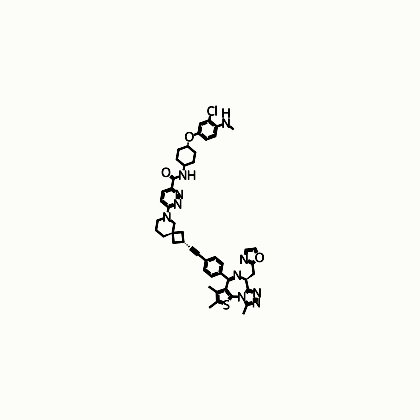 CNc1ccc(O[C@H]2CC[C@H](NC(=O)c3ccc(N4CCC[C@]5(C4)C[C@@H](C#Cc4ccc(C6=N[C@@H](Cc7ncco7)c7nnc(C)n7-c7sc(C)c(C)c76)cc4)C5)nn3)CC2)cc1Cl